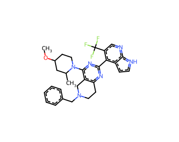 COC1CCN(c2nc(-c3c(C(F)(F)F)cnc4[nH]ccc34)nc3c2CN(Cc2ccccc2)CC3)C(C)C1